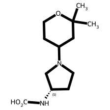 CC1(C)CC(N2CC[C@H](NC(=O)O)C2)CCO1